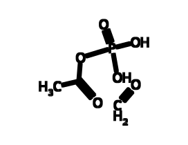 C=O.CC(=O)OP(=O)(O)O